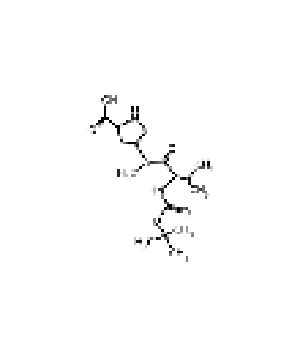 CC(C)C(NC(=O)OC(C)(C)C)C(=O)N(C)C1CNC(C(=O)O)C1